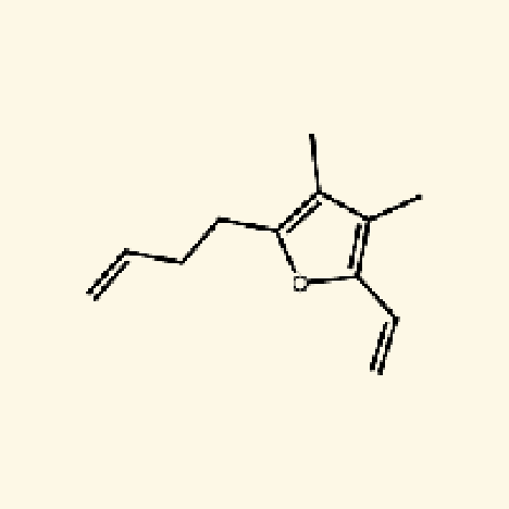 C=CCCc1oc(C=C)c(C)c1C